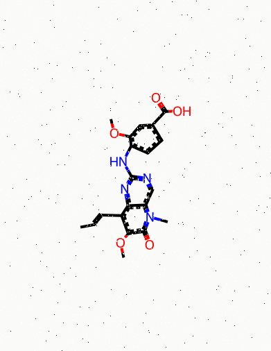 CC=Cc1c(OC)c(=O)n(C)c2cnc(Nc3ccc(C(=O)O)cc3OC)nc12